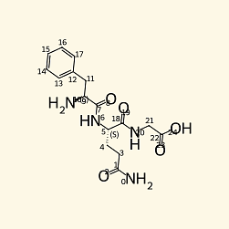 NC(=O)CC[C@H](NC(=O)[C@@H](N)Cc1ccccc1)C(=O)NCC(=O)O